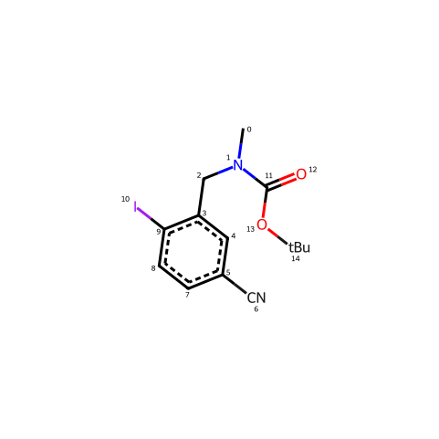 CN(Cc1cc(C#N)ccc1I)C(=O)OC(C)(C)C